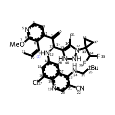 C=C(c1ccnc(OC)c1/C=C\C)[C@H](Nc1cc(Cl)c2ncc(C#N)c(NCC(C)(C)C)c2c1)C1=C(I)N(C2(C(F)F)CC2)NN1